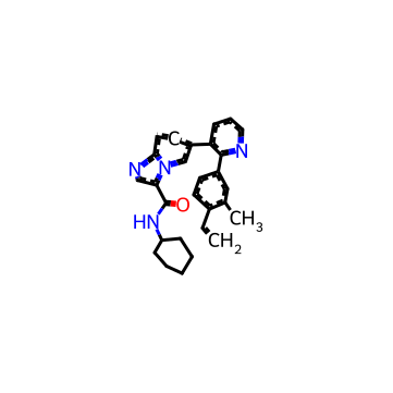 C=Cc1ccc(-c2ncccc2-c2ccc3ncc(C(=O)NC4CCCCC4)n3c2)cc1C